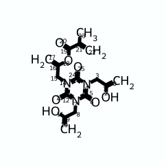 C=C(O)Cn1c(=O)n(CC(=C)O)c(=O)n(CC(=C)OC(=O)C(=C)C)c1=O